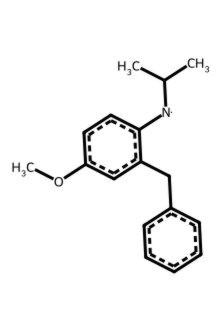 COc1ccc([N]C(C)C)c(Cc2ccccc2)c1